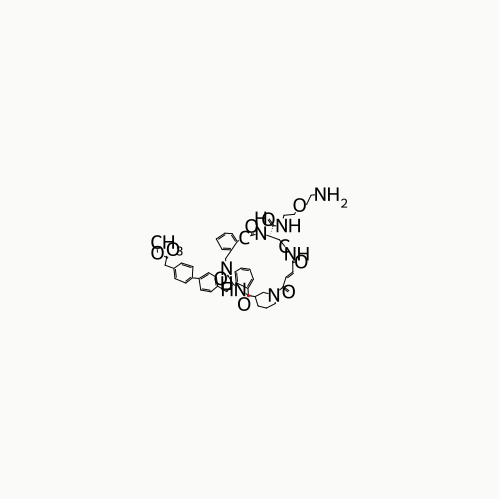 COC(=O)Cc1ccc(-c2ccc(C[C@@H]3NC(=O)[C@]4(Cc5ccccc5)CCCN(C4)C(=O)/C=C/C(=O)NCC[C@@H](C(=O)NCCOCCN)NC(=O)Cc4ccccc4CNC3=O)cc2)cc1